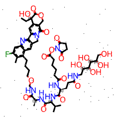 CC[C@@]1(O)C(=O)OCc2c1cc1n(c2=O)Cc2cc3c(CCCCOCNC(=O)[C@H](C)NC(=O)[C@@H](NC(=O)[C@H](CCC(=O)NC[C@H](O)[C@@H](O)[C@H](O)[C@H](O)CO)NC(=O)CCCCC(=O)ON4C(=O)CCC4=O)C(C)C)c(C)c(F)cc3nc2-1